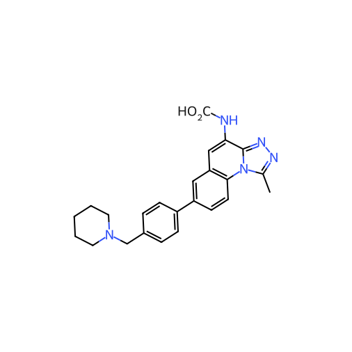 Cc1nnc2c(NC(=O)O)cc3cc(-c4ccc(CN5CCCCC5)cc4)ccc3n12